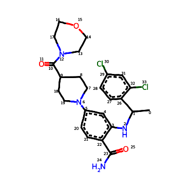 CC(Nc1cc(N2CCC(C(=O)N3CCOCC3)CC2)ccc1C(N)=O)c1ccc(Cl)cc1Cl